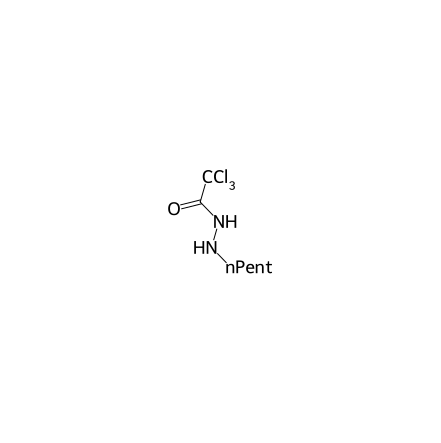 CCCCCNNC(=O)C(Cl)(Cl)Cl